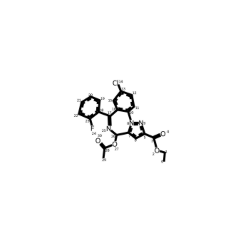 CCOC(=O)c1cc2n(n1)-c1ccc(Cl)cc1C(c1ccccc1F)=NC2OC(C)=O